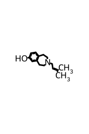 CC(C)=CCN1CCc2ccc(O)cc2CC1